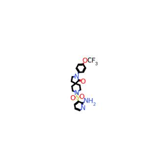 Nc1ncccc1S(=O)(=O)N1CCC2(CCN(c3ccc(OC(F)(F)F)cc3)C2=O)CC1